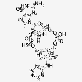 Nc1nc2c(ncn2[C@@H]2O[C@@H]3COP(=O)(O)OC[C@@H]4[C@@H](COP(=O)(S)O[C@@H]2[C@@H]3O)C[C@@H](Nc2ncncn2)[C@@H]4F)c(=O)[nH]1